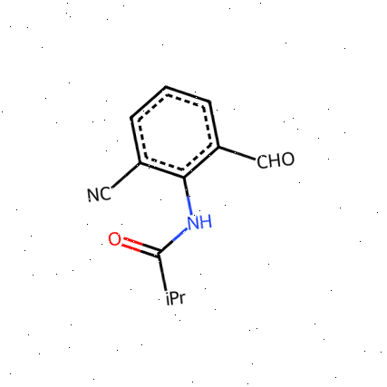 CC(C)C(=O)Nc1c(C#N)cccc1C=O